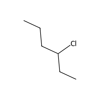 CCCC(Cl)CC